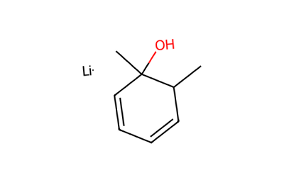 CC1C=CC=CC1(C)O.[Li]